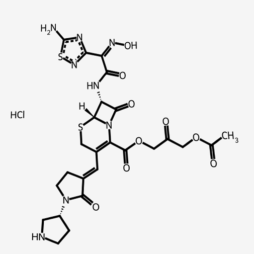 CC(=O)OCC(=O)COC(=O)C1=C(/C=C2\CCN([C@@H]3CCNC3)C2=O)CS[C@@H]2[C@H](NC(=O)/C(=N\O)c3nsc(N)n3)C(=O)N12.Cl